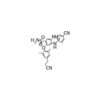 Cc1cc(CCC#N)cc(C)c1Oc1cc(Nc2ccc(C#N)cc2)c(N)cc1S(N)(=O)=O